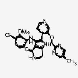 COc1c(Cl)cccc1Nc1c(-c2ccncc2OCc2ncc(C)cn2)[nH]c2c1C(=O)NCC2